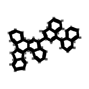 c1ccc2c(-c3nc(-c4nc5c6ccccc6c6sc7ccccc7c6c5c5ccccc45)nc4ccccc34)cccc2c1